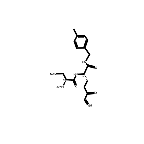 CSC[C@H](NC(C)=O)C(=O)N[C@@H](CCC(=O)C=N)C(=O)NCc1ccc(C)cc1